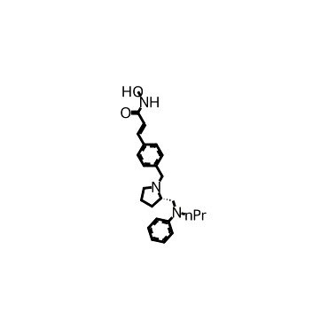 CCCN(C[C@@H]1CCCN1Cc1ccc(/C=C/C(=O)NO)cc1)c1ccccc1